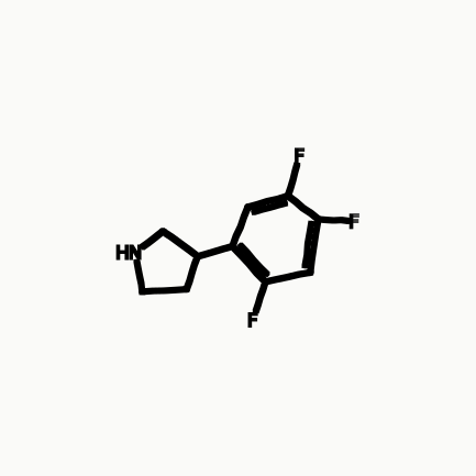 Fc1cc(F)c(C2CCNC2)cc1F